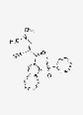 CN(C)C=C(C#N)C(=O)c1cc2cnccc2n1S(=O)(=O)c1ccccc1